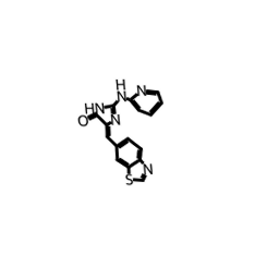 O=C1NC(Nc2ccccn2)=N/C1=C\c1ccc2ncsc2c1